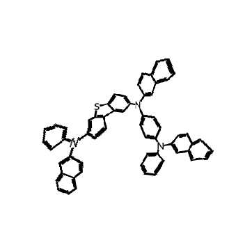 c1ccc(N(c2ccc(N(c3ccc4ccccc4c3)c3ccc4sc5cc(N(c6ccccc6)c6ccc7ccccc7c6)ccc5c4c3)cc2)c2ccc3ccccc3c2)cc1